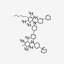 [2H]c1c([2H])c(N(c2ccc(-c3ccccc3)cc2)c2ccc(-c3ccc(N(c4ccc(-c5ccccc5)cc4)c4c([2H])c([2H])c(CCCCCC)c([2H])c4[2H])cc3)cc2)c([2H])c([2H])c1C